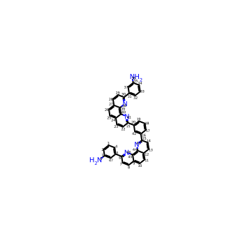 Nc1cccc(-c2ccc3ccc4ccc(-c5cccc(-c6ccc7ccc8ccc(-c9cccc(N)c9)nc8c7n6)c5)nc4c3n2)c1